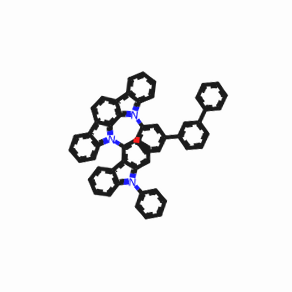 c1ccc(-c2cccc(-c3cccc(-n4c5ccccc5c5ccc6c7ccccc7n(-c7cccc8c7c7ccccc7n8-c7ccccc7)c6c54)c3)c2)cc1